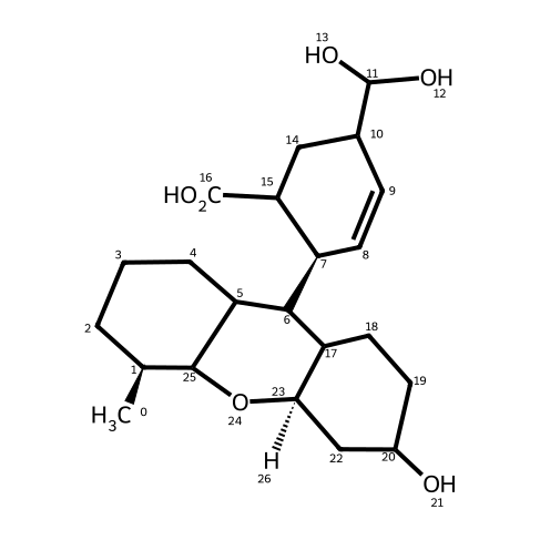 C[C@H]1CCCC2C([C@@H]3C=CC(C(O)O)CC3C(=O)O)C3CCC(O)C[C@H]3OC21